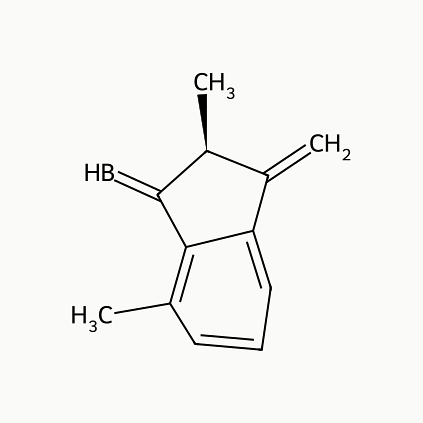 B=C1c2c(C)cccc2C(=C)[C@@H]1C